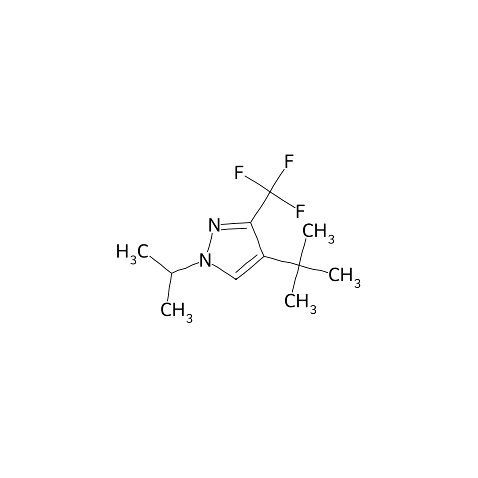 CC(C)n1cc(C(C)(C)C)c(C(F)(F)F)n1